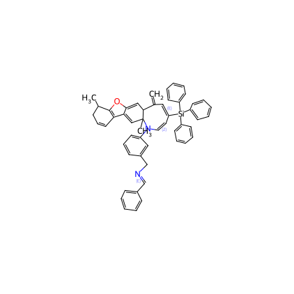 C=C1/C=C([Si](c2ccccc2)(c2ccccc2)c2ccccc2)\C=C/N(c2cccc(C/N=C/c3ccccc3)c2)C2(C)C=c3c4c(oc3=CC12)C(C)CC=C4